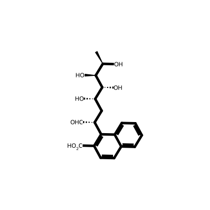 C[C@@H](O)[C@H](O)[C@H](O)[C@@H](O)C[C@@H](C=O)c1c(C(=O)O)ccc2ccccc12